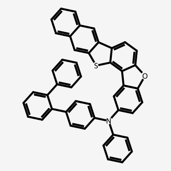 c1ccc(-c2ccccc2-c2ccc(N(c3ccccc3)c3ccc4oc5ccc6c7cc8ccccc8cc7sc6c5c4c3)cc2)cc1